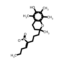 CCCC=C(CCCC1(C)CCc2c(C)c(O)c(C)c(C)c2O1)[N+](=O)[O-]